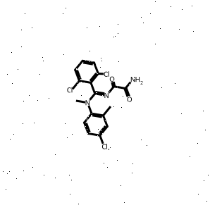 Cc1cc(Cl)ccc1N(C)C(=NC(=O)C(N)=O)c1c(Cl)cccc1Cl